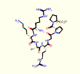 CC(C)[C@H](NC(=O)[C@H](CCCCN)NC(=O)[C@@H](N)CCCNC(=N)N)C(=O)N[C@@H](CCCNC(=N)N)C(=O)NCC(=O)N1CCC[C@H]1C(=O)N1CCC[C@H]1C(=O)O